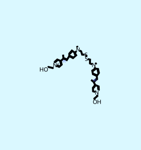 C/C(=C\c1ccc(N(C)CCSSCCN(C)c2ccc(/C=C(\C)c3cc[n+](CCO)cc3)cc2)cc1)C1=CCN(CCO)C=C1